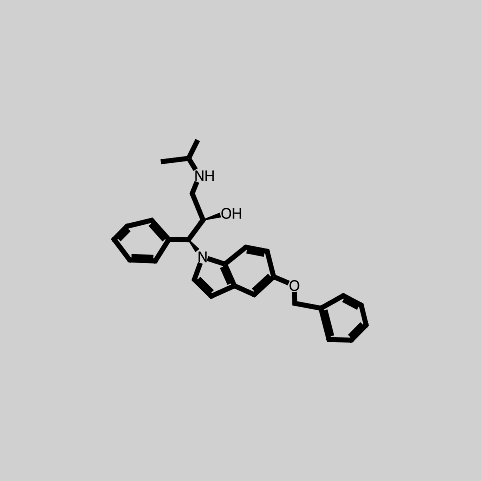 CC(C)NC[C@@H](O)[C@H](c1ccccc1)n1ccc2cc(OCc3ccccc3)ccc21